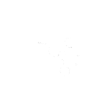 CCCC(O)c1c(-c2ccccc2)c2cc(OC)ccc2n1-c1ccccn1